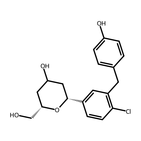 OC[C@@H]1CC(O)C[C@H](c2ccc(Cl)c(Cc3ccc(O)cc3)c2)O1